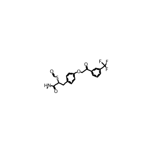 CNC(=O)C(Cc1ccc(OCC(=O)c2cccc(C(F)(F)F)c2)cc1)SC=O